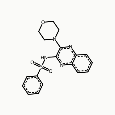 O=S(=O)(Nc1nc2ccccc2nc1N1CCOCC1)c1ccccc1